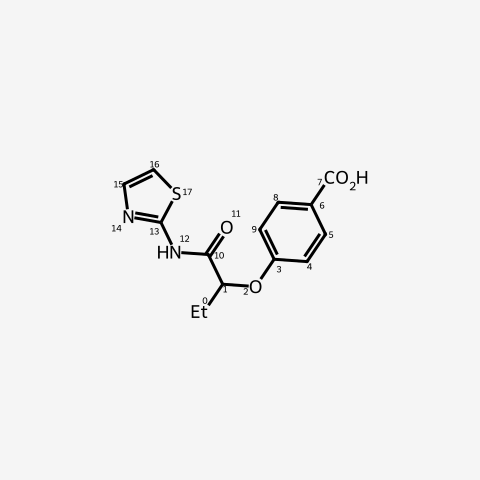 CCC(Oc1ccc(C(=O)O)cc1)C(=O)Nc1nccs1